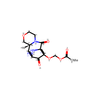 COC(=O)OCO/C1=C(/NN)C(=O)N2CCOC[C@H]2/C=C\C1=O